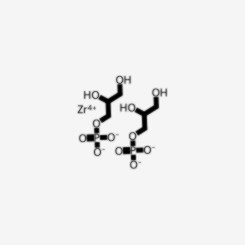 O=P([O-])([O-])OCC(O)CO.O=P([O-])([O-])OCC(O)CO.[Zr+4]